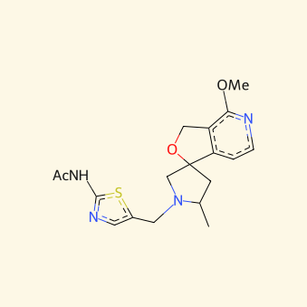 COc1nccc2c1COC21CC(C)N(Cc2cnc(NC(C)=O)s2)C1